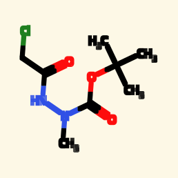 CN(NC(=O)CCl)C(=O)OC(C)(C)C